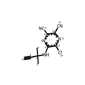 C#CC(C)(C)Nc1nc(C#N)c(C#N)nc1Cl